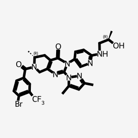 Cc1cc(C)n(-c2nc3c(c(=O)n2-c2ccc(NC[C@@H](C)O)nc2)C[C@@H](C)N(C(=O)c2ccc(Br)c(C(F)(F)F)c2)C3)n1